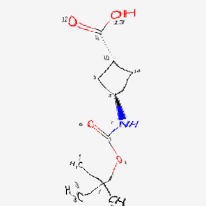 CC(C)(C)OC(=O)N[C@H]1C[C@H](C(=O)O)C1